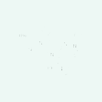 C=C1CC2C(CCc3nc4c(cc3-c3cc(-c5ccccc5)c(C(C)C)c[n+]31)c1ccccc1n4-c1ccccc1)c1ccccc1-c1cc(C(C)C(C)(C)C)c([Si](C)(C)C)c[n+]12